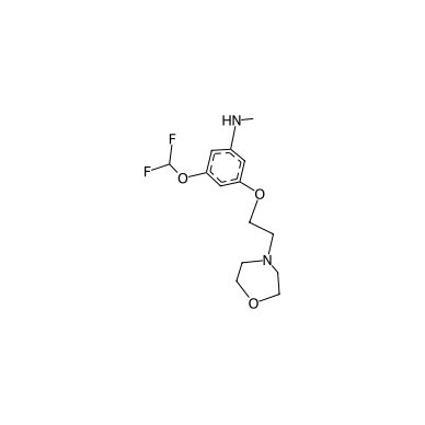 CNc1cc(OCCN2CCOCC2)cc(OC(F)F)c1